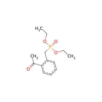 CCOP(=O)(Cc1ccccc1C(C)=O)OCC